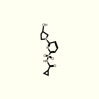 O=C(NS(=O)(=O)c1cccc(N2CCC(O)C2)n1)C1CC1